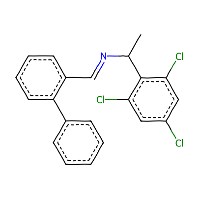 CC(N=Cc1ccccc1-c1ccccc1)c1c(Cl)cc(Cl)cc1Cl